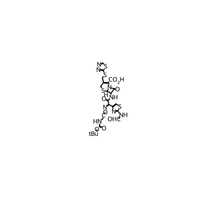 CC(C)(C)OC(=O)NCCO/N=C(/C(=O)NC1C(=O)N2C(C(=O)O)=C(CSc3nncs3)CS[C@H]12)c1csc(NC=O)n1